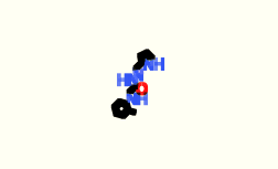 Cc1ccccc1NCC(=O)N/N=C/c1ccc[nH]1